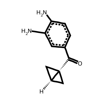 Nc1ccc(C(=O)[C@]23C[C@H]2C3)cc1N